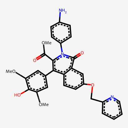 COC(=O)c1c(-c2cc(OC)c(O)c(OC)c2)c2ccc(OCc3ccccn3)cc2c(=O)n1-c1ccc(N)cc1